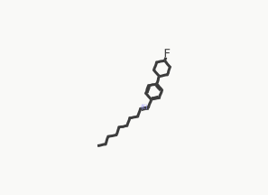 CCCCCCCC/C=C/c1ccc(C2CCC(F)CC2)cc1